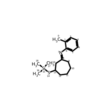 Cc1ccccc1N=C1CCCCC(S[Si](C)(C)C)C1